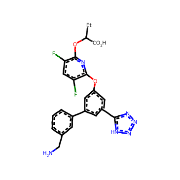 CCC(Oc1nc(Oc2cc(-c3cccc(CN)c3)cc(-c3nnn[nH]3)c2)c(F)cc1F)C(=O)O